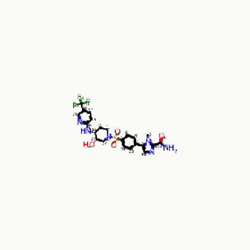 Cn1c(-c2ccc(S(=O)(=O)N3CC[C@@H](Nc4ccc(C(F)(F)F)cn4)[C@@H](O)C3)cc2)cnc1C(N)=O